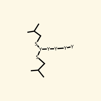 CC(C)C[S][Y]([S]CC(C)C)[Y][Y][Y][Y]